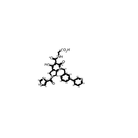 O=C(O)CNC(=O)c1c(O)c2c(n(Cc3cccc(-c4cccnc4)c3)c1=O)CN(C(=O)C1=CSC=[N+]1)C2